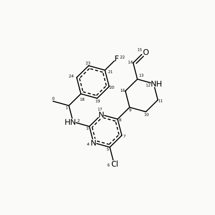 CC(Nc1nc(Cl)cc(C2CCNC(C=O)C2)n1)c1ccc(F)cc1